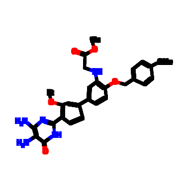 CCOc1cc(-c2ccc(OCc3ccc(OC)cc3)c(NCC(=O)OC(C)(C)C)c2)ccc1-c1nc(N)c(N)c(=O)[nH]1